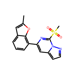 Cc1cc2cccc(-c3cc4ccnn4c(S(C)(=O)=O)n3)c2o1